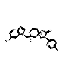 Cc1cnc(N2C[C@@]3(CCC[C@](C)(Cn4cnc5ccc(C#N)cc54)C3)OC2=O)cn1